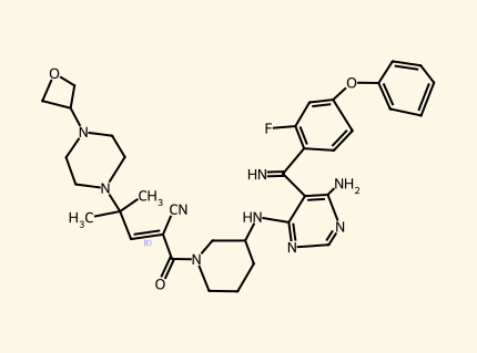 CC(C)(/C=C(\C#N)C(=O)N1CCCC(Nc2ncnc(N)c2C(=N)c2ccc(Oc3ccccc3)cc2F)C1)N1CCN(C2COC2)CC1